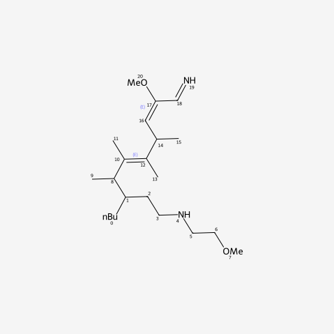 CCCCC(CCNCCOC)C(C)/C(C)=C(\C)C(C)/C=C(\C=N)OC